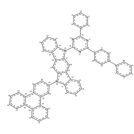 c1ccc(-c2ccc(-c3nc(-c4ccccc4)nc(-n4c5ccccc5c5cc6c(cc54)c4ccccc4n6-c4ccc5c6ccccc6c6ccccc6c5c4)n3)cc2)cc1